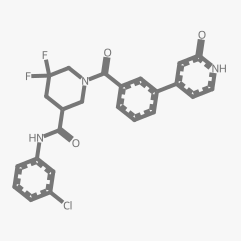 O=C(Nc1cccc(Cl)c1)C1CN(C(=O)c2cccc(-c3cc[nH]c(=O)c3)c2)CC(F)(F)C1